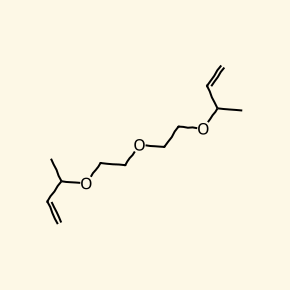 C=CC(C)OCCOCCOC(C)C=C